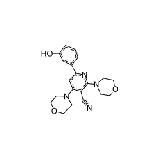 N#Cc1c(N2CCOCC2)cc(-c2cccc(O)c2)nc1N1CCOCC1